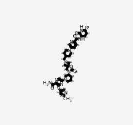 Cn1cc(Nc2nc(N3CCC[C@H](N4CC5(CN(CC6CCN(c7ccc(C(=O)NC8CCC(=O)NC8=O)nc7)CC6)C5)OC4=O)C3)cnc2C(N)=O)cn1